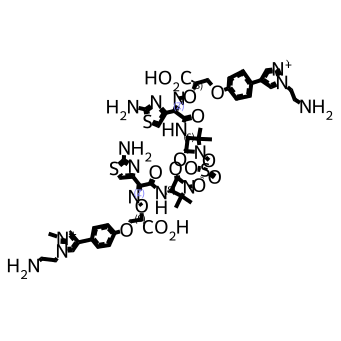 C[n+]1cc(-c2ccc(OC[C@H](O/N=C(\C(=O)N[C@@H]3C(=O)N(OS(=O)(=O)ON4C(=O)[C@@H](NC(=O)/C(=N\O[C@@H](COc5ccc(-c6cn(CCN)[n+](C)c6)cc5)C(=O)O)c5csc(N)n5)C4(C)C)C3(C)C)c3csc(N)n3)C(=O)O)cc2)cn1CCN